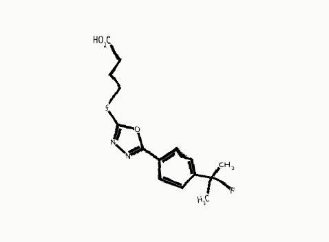 CC(C)(F)c1ccc(-c2nnc(SCCCC(=O)O)o2)cc1